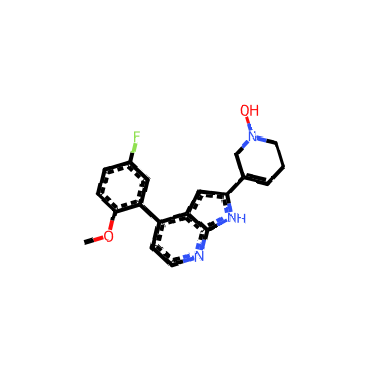 COc1ccc(F)cc1-c1ccnc2[nH]c(C3=CCCN(O)C3)cc12